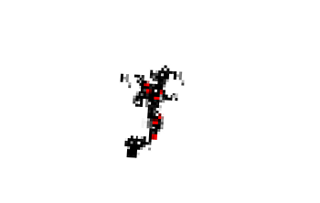 COc1ccc(C(OC[C@H]2O[C@@H](n3cc(C)c(=O)[nH]c3=O)CC2O[PH](O)(OCCC#N)OC[C@@H]2CC[C@H](n3cnc4c(NC(=O)c5ccc(CNC(=O)OCC6c7ccccc7-c7ccccc76)cc5)ncnc43)O2)(c2ccccc2)c2ccc(OC)cc2)cc1